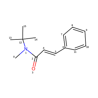 CN(C(=O)/C=C/c1ccccc1)C(C)(C)C